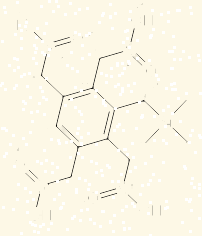 C[Si](C)(C)Cc1c(CS(=O)O)c(CS(=O)O)cc(CS(=O)O)c1CS(=O)O